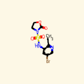 Cc1ncc(Br)cc1NS(=O)(=O)N1CCOC1=O